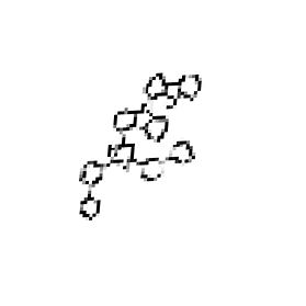 C1=CC(c2cc(-c3cccc4c3c3ccccc3n4-c3cccc4c3oc3ccccc34)nc(-c3cccc(-c4ccccc4)c3)n2)=CC(c2ccccc2)C1